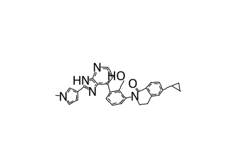 Cn1ccc(-c2nc3c(-c4cccc(N5CCc6cc(C7CC7)ccc6C5=O)c4CO)ccnc3[nH]2)c1